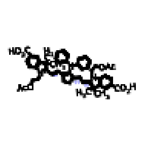 CC(=O)OCCN1/C(=C\C=C2/CCC(/C=C/C3=[N+](CCOC(C)=O)c4ccc(C(=O)O)cc4C3(C)C)=C2N(c2ccccc2)c2ccccc2)C(C)(C)c2cc(C(=O)O)ccc21